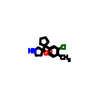 Cc1ccc(C2([C@@]3(O)CCNC3)CCCC2)cc1Cl